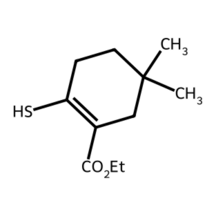 CCOC(=O)C1=C(S)CCC(C)(C)C1